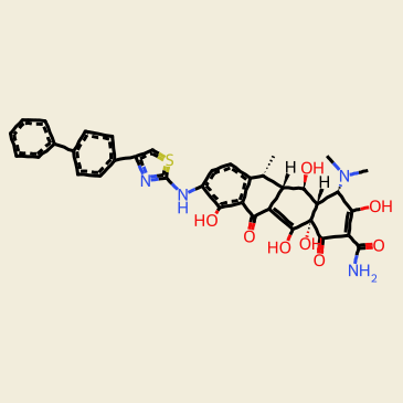 C[C@H]1c2ccc(Nc3nc(-c4ccc(-c5ccccc5)cc4)cs3)c(O)c2C(=O)C2=C(O)[C@]3(O)C(=O)C(C(N)=O)=C(O)[C@@H](N(C)C)[C@H]3[C@H](O)[C@H]21